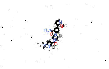 CCOc1ncccc1-c1ccc(N2CCN(C(=O)c3ccc(N(C)C)nc3C(F)(F)F)C[C@H]2CC)c(C(N)=O)c1